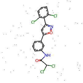 O=C(Nc1cccc(-c2cc(-c3c(Cl)cccc3Cl)no2)c1)C(Cl)Cl